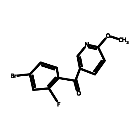 COc1ccc(C(=O)c2ccc(Br)cc2F)cn1